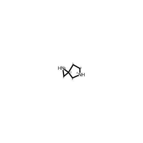 C1CC2(CN1)CN2